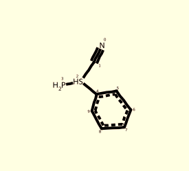 N#C[SH](P)c1ccccc1